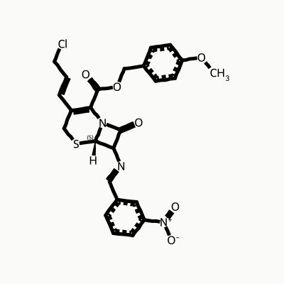 COc1ccc(COC(=O)C2=C(C=CCCl)CS[C@H]3C(N=Cc4cccc([N+](=O)[O-])c4)C(=O)N23)cc1